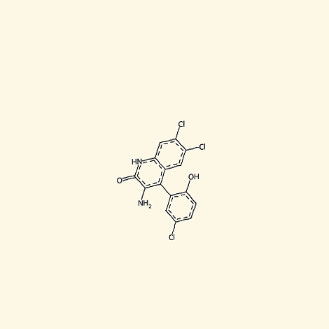 Nc1c(-c2cc(Cl)ccc2O)c2cc(Cl)c(Cl)cc2[nH]c1=O